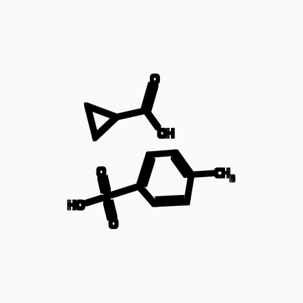 Cc1ccc(S(=O)(=O)O)cc1.O=C(O)C1CC1